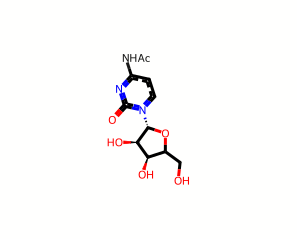 CC(=O)Nc1ccn([C@@H]2OC(CO)[C@@H](O)[C@H]2O)c(=O)n1